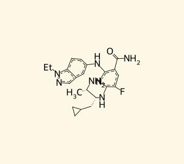 CCn1ncc2cc(Nc3nc(N[C@H](CC4CC4)[C@H](C)N)c(F)cc3C(N)=O)ccc21